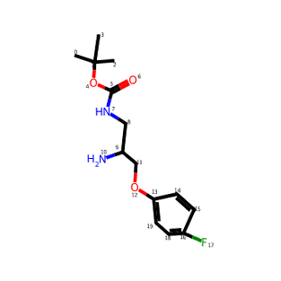 CC(C)(C)OC(=O)NCC(N)COc1ccc(F)cc1